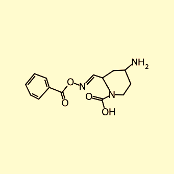 NC1CCN(C(=O)O)C(/C=N/OC(=O)c2ccccc2)C1